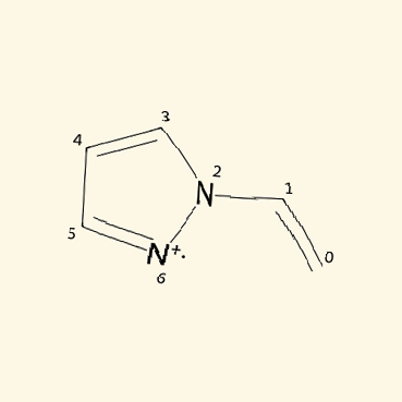 C=CN1C=CC=[N+]1